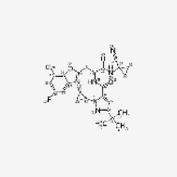 CC(C)(C)c1cc(C(=O)NC(Cc2nc3cc(F)cc(Cl)c3o2)C(=O)NC2(C#N)CC2)n(C2CC2)n1